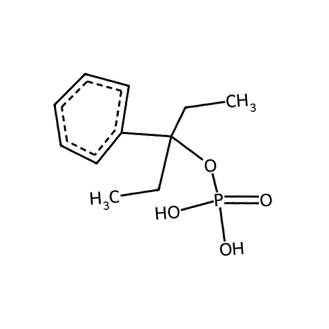 CCC(CC)(OP(=O)(O)O)c1ccccc1